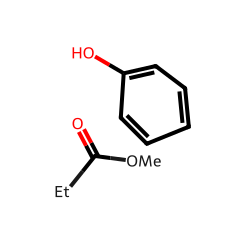 CCC(=O)OC.Oc1ccccc1